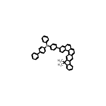 CC1(C)c2ccccc2-c2cc3ccc4ccc5cc(-c6ccc(N(c7ccccc7)c7ccc(-c8ccccc8)cc7)cc6)ccc5c4c3cc21